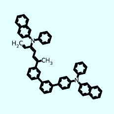 C=C/C(=C\C=C(/C)c1cccc(-c2cccc(-c3ccc(N(c4ccccc4)c4ccc5ccccc5c4)cc3)c2)c1)N(c1ccccc1)c1ccc2ccccc2c1